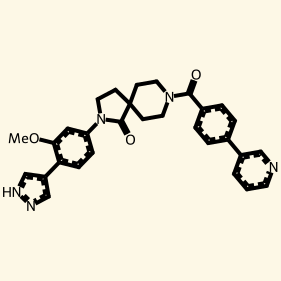 COc1cc(N2CCC3(CCN(C(=O)c4ccc(-c5cccnc5)cc4)CC3)C2=O)ccc1-c1cn[nH]c1